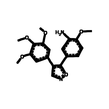 COc1ccc(-c2oncc2-c2cc(OC)c(OC)c(OC)c2)cc1N